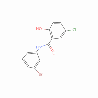 O=C(Nc1cccc(Br)c1)c1cc(Cl)ccc1O